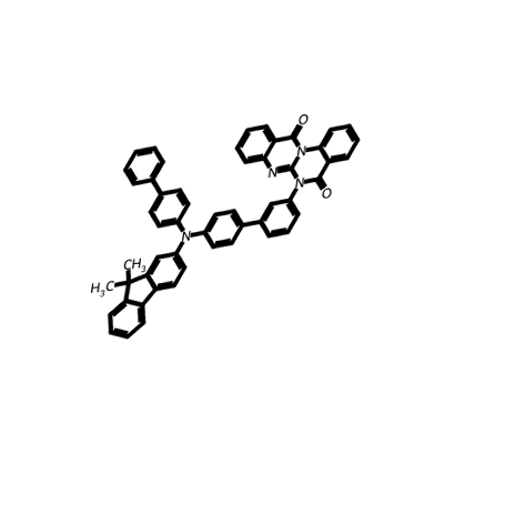 CC1(C)c2ccccc2-c2ccc(N(c3ccc(-c4ccccc4)cc3)c3ccc(-c4cccc(-n5c(=O)c6ccccc6n6c(=O)c7ccccc7nc56)c4)cc3)cc21